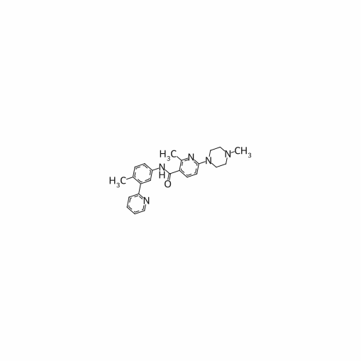 Cc1ccc(NC(=O)c2ccc(N3CCN(C)CC3)nc2C)cc1-c1ccccn1